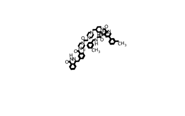 CCc1cccc(-c2cnc(C(=O)N3CCC(CN4CCN(CC(=O)N5CCN(C(=O)c6cc(Cc7n[nH]c(=O)c8ccccc78)ccc6F)CC5)CC4)CC3(C)C)c(NC(=O)CNCc3cccc(C)c3)c2)c1